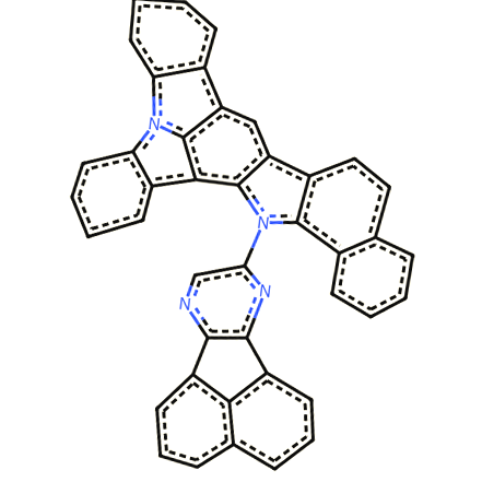 c1cc2c3c(cccc3c1)-c1nc(-n3c4c5ccccc5ccc4c4cc5c6ccccc6n6c7ccccc7c(c43)c56)cnc1-2